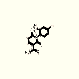 Cc1cc(F)ccc1-n1c(C)ccc(C(N)=O)c1=O